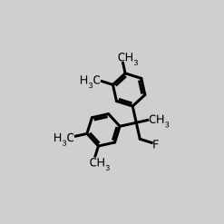 Cc1ccc(C(C)(CF)c2ccc(C)c(C)c2)cc1C